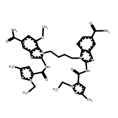 CCn1nc(C)cc1C(=O)Nc1nc2cc(C(N)=O)ccc2n1CCCCn1c(NC(=O)c2cc(C)nn2CC)nc2cc(C(N)=O)cc(OC)c21